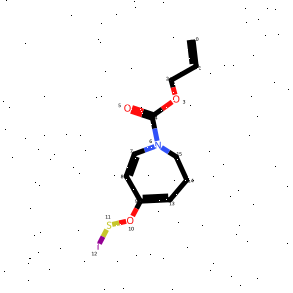 C=CCOC(=O)N1C=CC(OSI)=CCC1